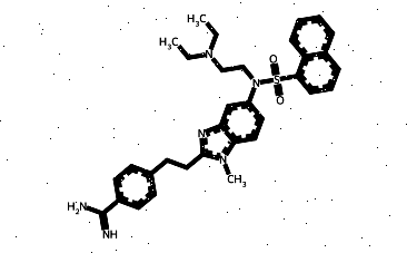 CCN(CC)CCN(c1ccc2c(c1)nc(CCc1ccc(C(=N)N)cc1)n2C)S(=O)(=O)c1cccc2ccccc12